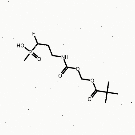 CC(C)(C)C(=O)OCOC(=O)NCCC(F)P(C)(=O)O